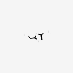 CCCCC1=[N+]C=C(C)N1